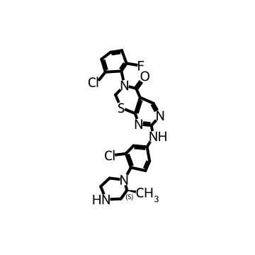 C[C@H]1CNCCN1c1ccc(Nc2ncc3c(n2)SCN(c2c(F)cccc2Cl)C3=O)cc1Cl